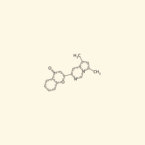 Cc1cc(C)n2cnc(-c3cc(=O)c4ccccc4o3)cc12